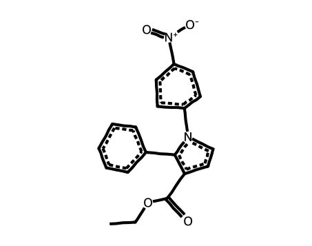 CCOC(=O)c1ccn(-c2ccc([N+](=O)[O-])cc2)c1-c1ccccc1